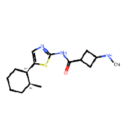 C[C@H]1CCCC[C@H]1c1cnc(NC(=O)C2CC(NC#N)C2)s1